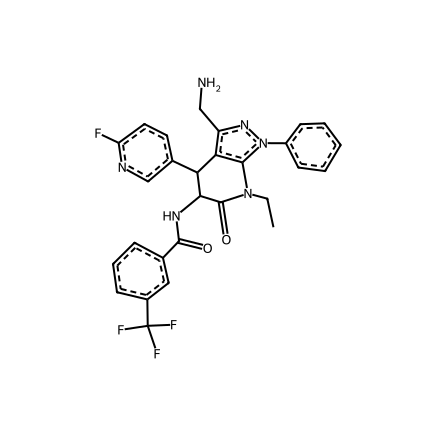 CCN1C(=O)C(NC(=O)c2cccc(C(F)(F)F)c2)C(c2ccc(F)nc2)c2c(CN)nn(-c3ccccc3)c21